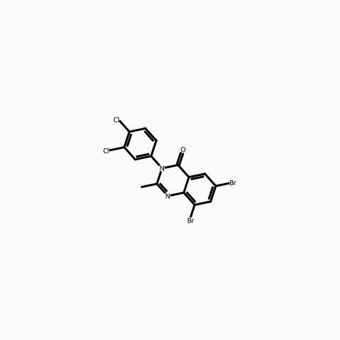 Cc1nc2c(Br)cc(Br)cc2c(=O)n1-c1ccc(Cl)c(Cl)c1